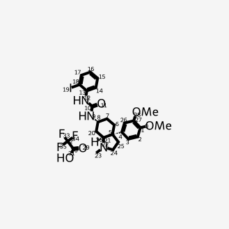 COc1ccc([C@@]23CC[C@@H](NC(=O)Nc4ccccc4I)C[C@@H]2N(C)CC3)cc1OC.O=C(O)C(F)(F)F